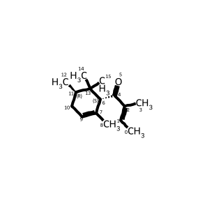 CC=C(C)C(=O)[C@@H]1C(C)=CC[C@@H](C)C1(C)C